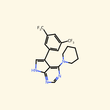 FC(F)(F)c1cc(-c2c[nH]c3ncnc(N4CCCCC4)c23)cc(C(F)(F)F)c1